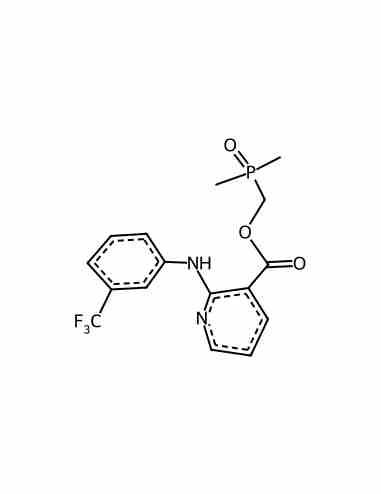 CP(C)(=O)COC(=O)c1cccnc1Nc1cccc(C(F)(F)F)c1